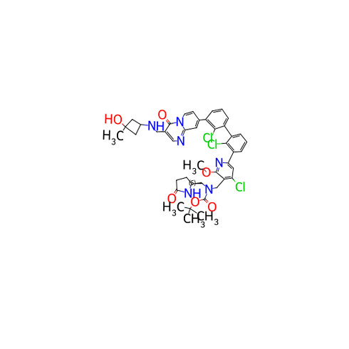 COc1nc(-c2cccc(-c3cccc(-c4ccn5c(=O)c(CNC6CC(C)(O)C6)cnc5c4)c3Cl)c2Cl)cc(Cl)c1CN(C[C@@H]1CCC(=O)N1)C(=O)OC(C)(C)C